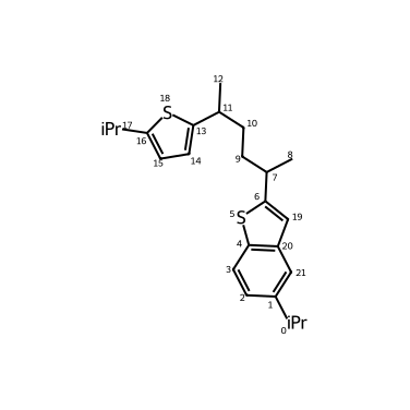 CC(C)c1ccc2sc(C(C)CCC(C)c3ccc(C(C)C)s3)cc2c1